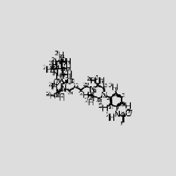 [2H]c1cc([2H])c(N([2H])C(C)=O)c([2H])c1N1CC([2H])([2H])N(CCCCN(C([2H])([2H])[2H])S(=O)(=O)C([2H])([2H])C([2H])(C([2H])([2H])[2H])C([2H])([2H])[2H])C([2H])([2H])C1